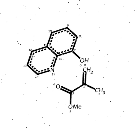 C=C(C)C(=O)OC.Oc1cccc2cccnc12